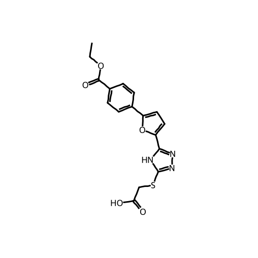 CCOC(=O)c1ccc(-c2ccc(-c3nnc(SCC(=O)O)[nH]3)o2)cc1